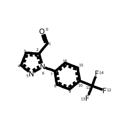 O=Cc1ccnn1-c1ccc(C(F)(F)F)cc1